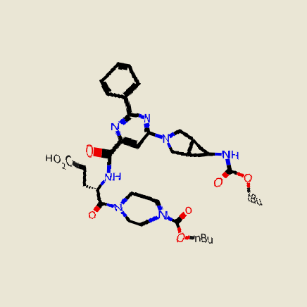 CCCCOC(=O)N1CCN(C(=O)[C@H](CCC(=O)O)NC(=O)c2cc(N3CC4C(C3)C4NC(=O)OC(C)(C)C)nc(-c3ccccc3)n2)CC1